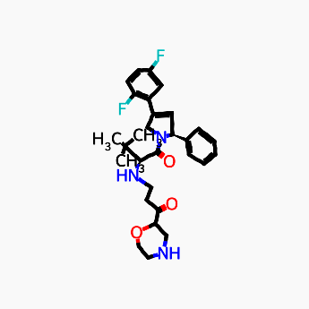 CC(C)(C)[C@H](NCCC(=O)C1CNCCO1)C(=O)N1CC(c2cc(F)ccc2F)=C[C@H]1c1ccccc1